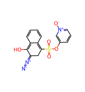 [N-]=[N+]=C1CC(S(=O)(=O)Oc2ccc[n+]([O-])c2)=c2ccccc2=C1O